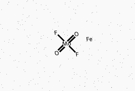 [Fe].[O]=[Mo](=[O])([F])[F]